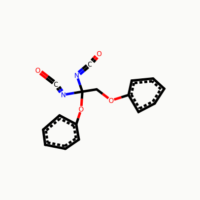 O=C=NC(COc1ccccc1)(N=C=O)Oc1ccccc1